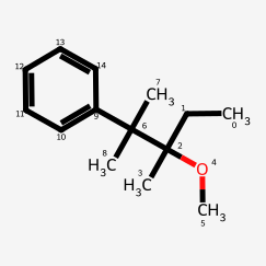 CCC(C)(OC)C(C)(C)c1ccccc1